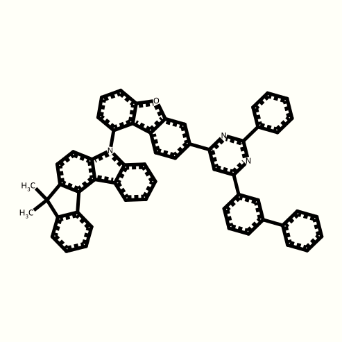 CC1(C)c2ccccc2-c2c1ccc1c2c2ccccc2n1-c1cccc2oc3cc(-c4cc(-c5cccc(-c6ccccc6)c5)nc(-c5ccccc5)n4)ccc3c12